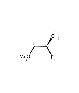 COC[C@@H](C)F